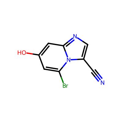 N#Cc1cnc2cc(O)cc(Br)n12